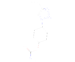 NC(=O)OC1CCC(n2cc(C=O)nn2)CC1